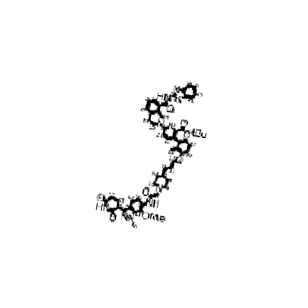 COc1c(NC(=O)CN2CCC(CCCOc3cccc(-c4ccc(N5CCc6cccc(C(=O)Nc7nc8ccccc8s7)c6C5)nc4C(=O)OC(C)(C)C)c3C)CC2)ccc2c(C3CCC(=O)NC3=O)nn(C)c12